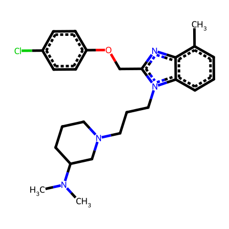 Cc1cccc2c1nc(COc1ccc(Cl)cc1)n2CCCN1CCCC(N(C)C)C1